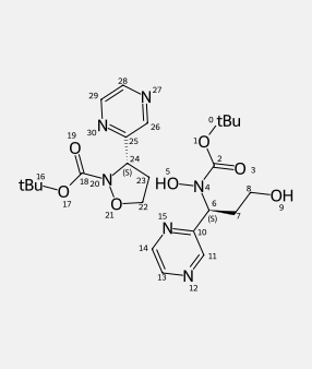 CC(C)(C)OC(=O)N(O)[C@@H](CCO)c1cnccn1.CC(C)(C)OC(=O)N1OCC[C@H]1c1cnccn1